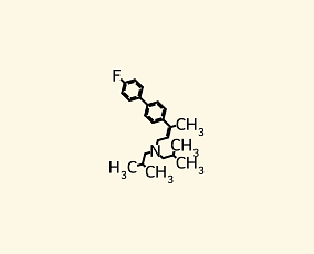 C/C(=C/CN(CC(C)C)CC(C)C)c1ccc(-c2ccc(F)cc2)cc1